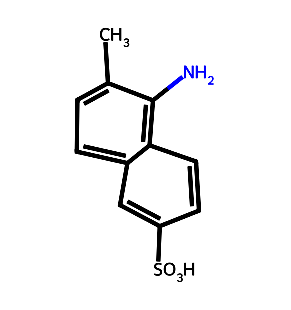 Cc1ccc2cc(S(=O)(=O)O)ccc2c1N